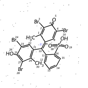 CC1=C(Br)C(=O)C(Br)=C/C1=C(\c1ccccc1S(=O)(=O)O)c1cc(Br)c(O)c(Br)c1C